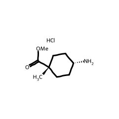 COC(=O)[C@]1(C)CC[C@H](N)CC1.Cl